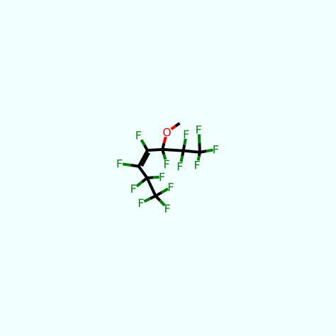 COC(F)(/C(F)=C(/F)C(F)(F)C(F)(F)F)C(F)(F)C(F)(F)F